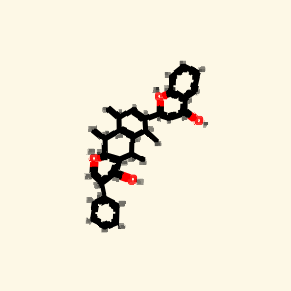 CC1C=C(c2cc(=O)c3ccccc3o2)C(C)C2=C1C(C)c1occ(-c3ccccc3)c(=O)c1C2C